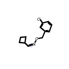 Clc1cccc(CO/N=[C]\C2CCC2)c1